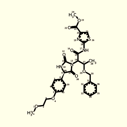 COCCOc1ccc([C@H]2NC(=O)N(C(C(=O)Nc3nc(C(=O)OC)cs3)C(C)OCc3ccccc3)C2=O)cc1